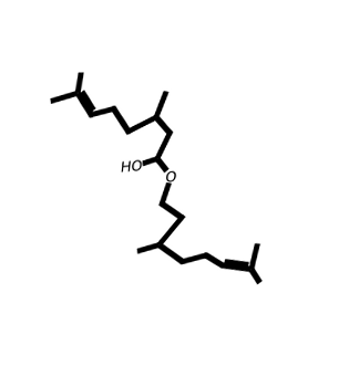 CC(C)=CCCC(C)CCOC(O)CC(C)CCC=C(C)C